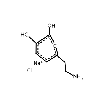 NCCc1ccc(O)c(O)c1.[Cl-].[Na+]